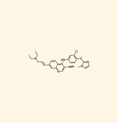 CCN(CC)C/C=C/c1ccc2c(Nc3ccc(Sc4nccn4C)c(Cl)c3)c(C#N)cnc2c1